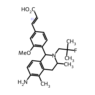 COc1cc(/C=C/C(=O)O)ccc1C1c2ccc(N)c(C)c2CC(C)N1CC(C)(C)F